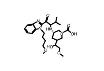 COCCCCn1c(C(=O)C(N[C@H]2CC(C(O)COC)CN(C(=O)O)C2)C(C)C)nc2ccccc21